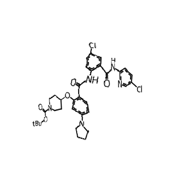 CC(C)(C)OC(=O)N1CCC(Oc2cc(N3CCCC3)ccc2C(=O)Nc2ccc(Cl)cc2C(=O)Nc2ccc(Cl)cn2)CC1